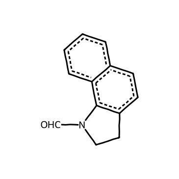 O=CN1CCc2ccc3ccccc3c21